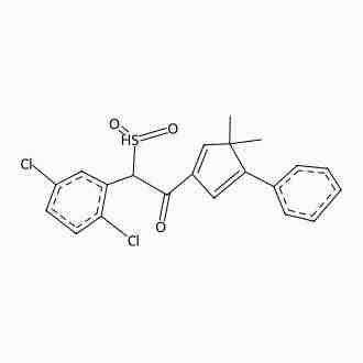 CC1(C)C=C(C(=O)C(c2cc(Cl)ccc2Cl)[SH](=O)=O)C=C1c1ccccc1